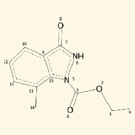 CCOC(=O)n1[nH]c(=O)c2cccc(C)c21